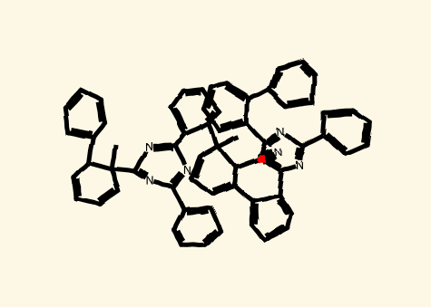 CC1(c2ccccc2-c2nc(-c3ccccc3)nc(C3(C)C=CC=CC3c3ccccc3)n2)C=CC=C(c2ccccc2-c2nc(-c3ccccc3)nc(-c3ccccc3-c3ccccc3)n2)C1C#N